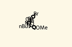 CCCCc1nc(O)c(S(=O)(=O)c2ccc(Br)cc2)c(=O)n1C(C)c1ccc(OC)cc1